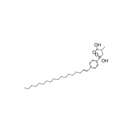 CCCCCCCCCCCCCCCC/C=C/c1ccc(P(=O)(O)CC(C)C(=O)O)cc1